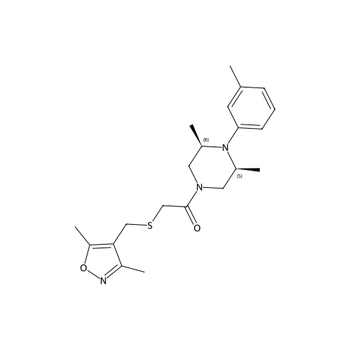 Cc1cccc(N2[C@H](C)CN(C(=O)CSCc3c(C)noc3C)C[C@@H]2C)c1